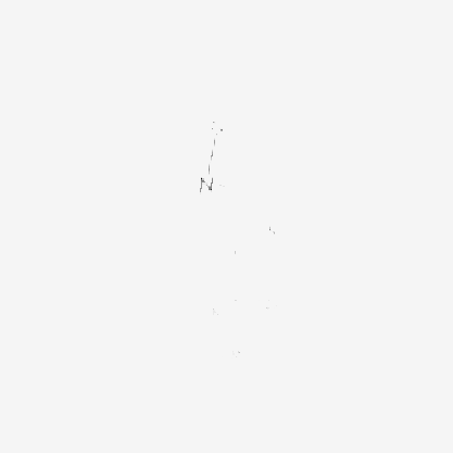 CON(C)C(=O)c1ccn2nc(C)cc2n1